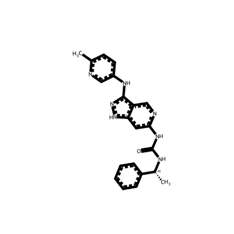 Cc1ccc(Nc2n[nH]c3cc(NC(=O)N[C@H](C)c4ccccc4)ncc23)cn1